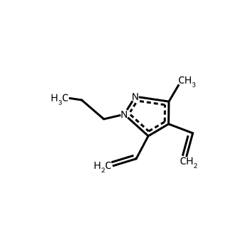 C=Cc1c(C)nn(CCC)c1C=C